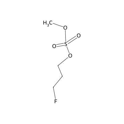 COS(=O)(=O)OCCCF